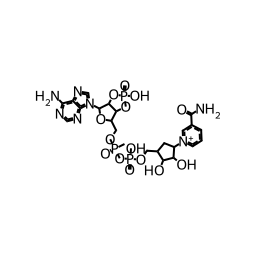 CP(=O)(OCC1OC(n2cnc3c(N)ncnc32)C2OP(=O)(O)OC12)OP(=O)(O)OCC1CC([n+]2cccc(C(N)=O)c2)C(O)C1O